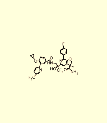 C[C@]1(C(N)=O)COc2c1cc([C@@](O)(CNC(=O)c1ccc(OC3CC3)c(-c3ccc(C(F)(F)F)cn3)c1)C(F)(F)F)nc2-c1ccc(F)cc1